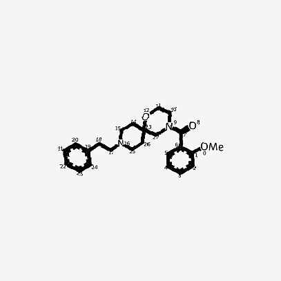 COc1ccccc1C(=O)N1CCOC2(CCN(CCc3ccccc3)CC2)C1